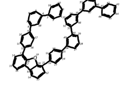 c1ccc(-c2cccc(-c3ccc(-c4cccc5c4oc4c(-c6ccc(-c7cccc(-c8cccc(-c9cccc(-c%10ccccc%10)c9)c8)c7)cc6)cccc45)cc3)c2)cc1